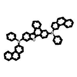 c1ccc(N(c2ccc3c(c2)oc2c4ccc(N(c5ccccc5)c5ccc6ccc7ccccc7c6c5)cc4c4ccccc4c32)c2ccc3ccc4ccccc4c3c2)cc1